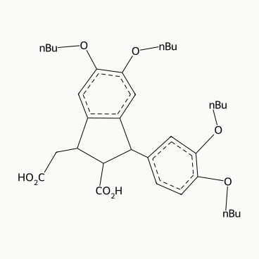 CCCCOc1ccc(C2c3cc(OCCCC)c(OCCCC)cc3C(CC(=O)O)C2C(=O)O)cc1OCCCC